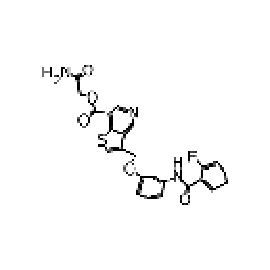 NC(=O)COC(=O)c1cncc2c(COc3cccc(NC(=O)c4ccccc4F)c3)csc12